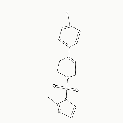 Cc1nccn1S(=O)(=O)N1CC=C(c2ccc(F)cc2)CC1